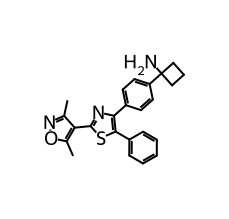 Cc1noc(C)c1-c1nc(-c2ccc(C3(N)CCC3)cc2)c(-c2ccccc2)s1